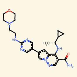 C[C@@H](Nc1c(C(N)=O)cnn2cc(-c3cnc(NCCN4CCOCC4)nc3)cc12)C1CC1